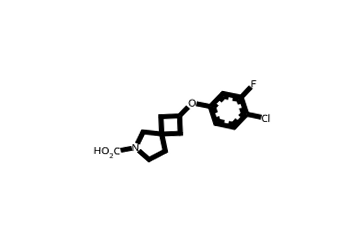 O=C(O)N1CCC2(CC(Oc3ccc(Cl)c(F)c3)C2)C1